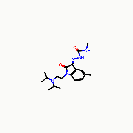 CNC(=O)N/N=C1/C(=O)N(CCN(C(C)C)C(C)C)c2ccc(C)cc21